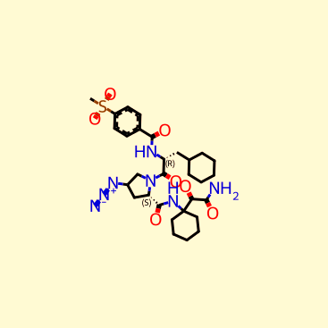 CS(=O)(=O)c1ccc(C(=O)N[C@H](CC2CCCCC2)C(=O)N2CC(N=[N+]=[N-])C[C@H]2C(=O)NC2(C(=O)C(N)=O)CCCCC2)cc1